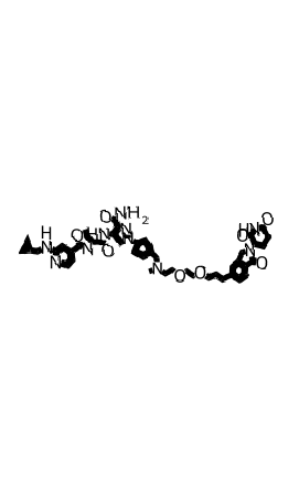 CN(CCOCCOCCCc1ccc2c(c1)CN(C1CCC(=O)NC1=O)C2=O)Cc1ccc(-n2cc(NC(=O)c3coc(-c4ccnc(NCC5CC5)c4)n3)c(C(N)=O)n2)cc1